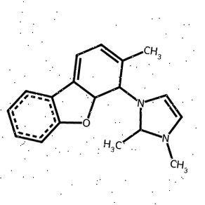 CC1=CC=C2c3ccccc3OC2C1N1C=CN(C)C1C